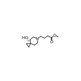 COC(=O)CCCN1CCC2(CC2)[C@H](O)C1